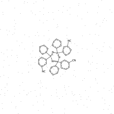 [C-]#[N+]c1cccc(P2(c3ccccc3)=NP(c3ccccc3)(c3cccc(C#N)c3)=NP(c3ccccc3)(c3cccc([N+]#[C-])c3)=N2)c1